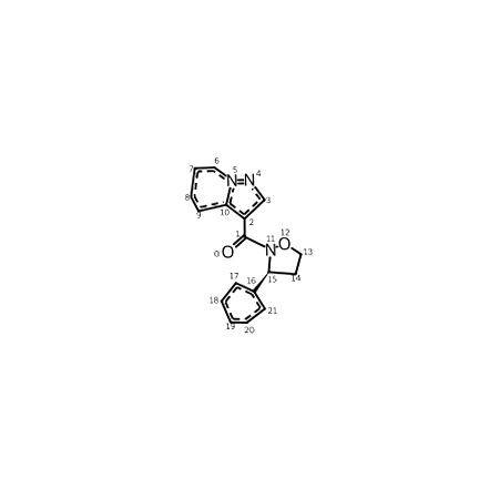 O=C(c1cnn2ccccc12)N1OCC[C@H]1c1ccccc1